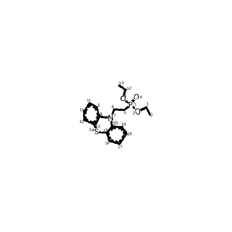 CCOP(=O)(CCN1c2ccccc2Sc2ccccc21)OCC